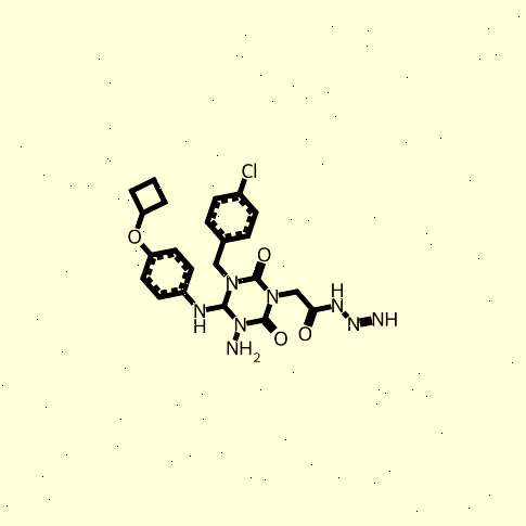 N=NNC(=O)CN1C(=O)N(N)C(Nc2ccc(OC3CCC3)cc2)N(Cc2ccc(Cl)cc2)C1=O